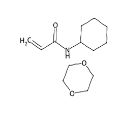 C1COCCO1.C=CC(=O)NC1CCCCC1